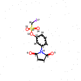 O=C1C=CC(=O)N1c1cccc(OS(=O)(=O)CI)c1